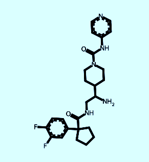 NC(CNC(=O)C1(c2ccc(F)c(F)c2)CCCC1)C1CCN(C(=O)Nc2ccncc2)CC1